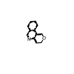 C1=c2ncc3ccccc3c2=COC1